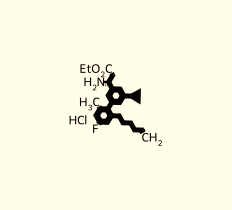 C=CCCCCc1cc(F)cc(C)c1-c1cc(C2CC2)cc([C@@H](N)CC(=O)OCC)c1.Cl